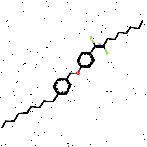 CCCCCCCCCc1ccc(COc2ccc(/C(F)=C(\F)CCCCCCC)cc2)cc1